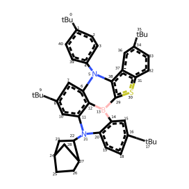 CC(C)(C)c1ccc(N2c3cc(C(C)(C)C)cc4c3B(c3cc(C(C)(C)C)ccc3N4C3CC4CCC3C4)c3sc4ccc(C(C)(C)C)cc4c32)cc1